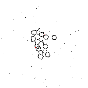 c1ccc(-c2cccc(N(c3ccc4c(c3)C3(c5ccccc5-c5ccccc53)c3ccccc3-4)c3c(-c4cccc5sc6ccccc6c45)c4ccccc4c4ccccc34)c2)cc1